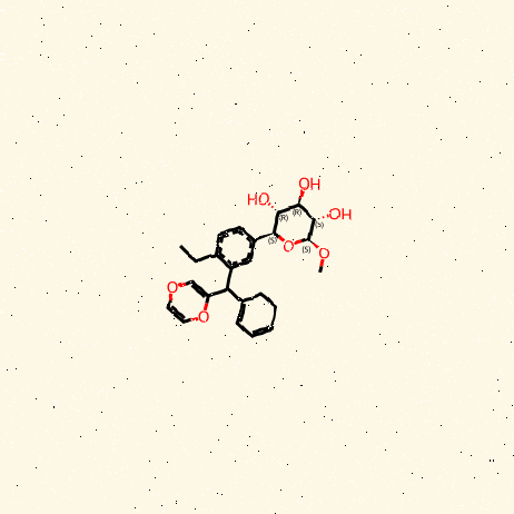 CCc1ccc([C@@H]2O[C@H](OC)[C@@H](O)[C@H](O)[C@H]2O)cc1C(C1=CC=CCC1)C1=COC=CO1